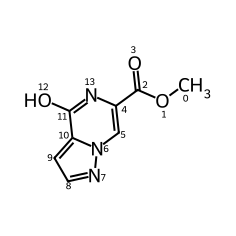 COC(=O)c1cn2nccc2c(O)n1